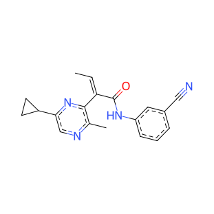 C/C=C(/C(=O)Nc1cccc(C#N)c1)c1nc(C2CC2)cnc1C